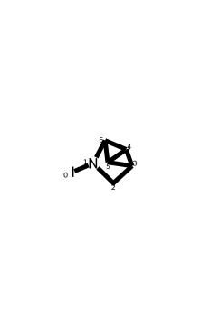 IN1CC2C3C2C31